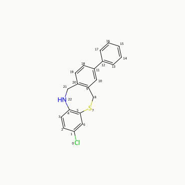 Clc1ccc2c(c1)SCc1cc(-c3ccccc3)ccc1CN2